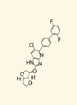 Fc1ccc(F)c(-c2ccc(-c3nc4nc(O[C@@H]5CO[C@@H]6CCO[C@@H]65)[nH]c4cc3Cl)cc2)c1